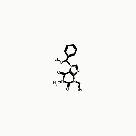 CCOC(c1ccccc1)n1cnc2c1c(=O)n(C)c(=O)n2CC(C)C